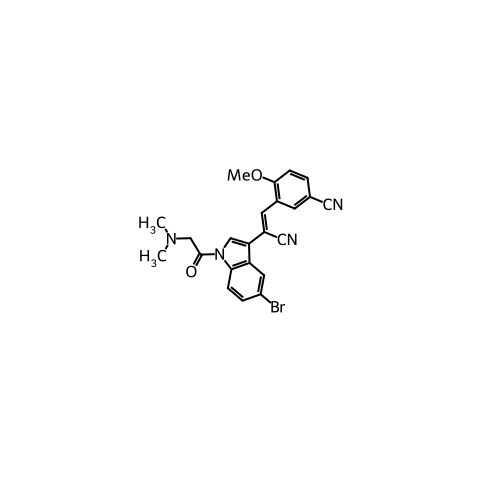 COc1ccc(C#N)cc1/C=C(\C#N)c1cn(C(=O)CN(C)C)c2ccc(Br)cc12